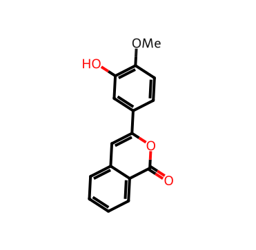 COc1ccc(-c2cc3ccccc3c(=O)o2)cc1O